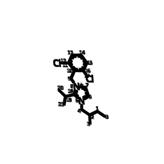 CCC(C)Cn1cc[n+](Cc2c(Cl)cccc2Cl)c1C(C)C